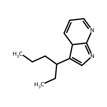 CCCC(CC)C1=CN=C2N=CC=CC12